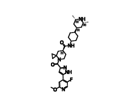 COc1cc(-c2cc(C(=O)N3CC[C@H](C(=O)NC4CCC([C@@H]5C[C@@H](C)N[C@@H](C)C5)CC4)CC34CC4)n[nH]2)c(F)cn1